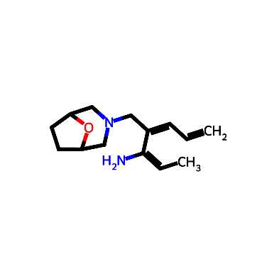 C=C/C=C(CN1CC2CCC(C1)O2)\C(N)=C/C